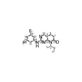 CCC(C)n1c(=O)ccc2cnc(Nc3cc(F)cc(F)c3)nc21